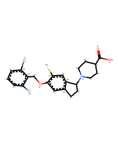 O=C(O)C1CCN(C2CCc3cc(OCc4c(Cl)cccc4Cl)c(F)cc32)CC1